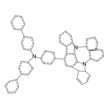 C1=CC2c3cc(-c4ccc(N(c5ccc(-c6ccccc6)cc5)c5ccc(-c6ccccc6)cc5)cc4)c4c5ccccc5n(-c5ccccc5)c4c3N(c3ccccc3)C2C=C1